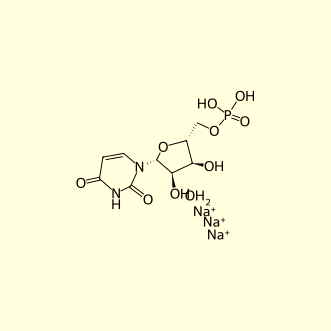 O.O=c1ccn([C@@H]2O[C@H](COP(=O)(O)O)[C@@H](O)[C@H]2O)c(=O)[nH]1.[Na+].[Na+].[Na+]